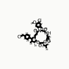 COc1ccc(C[C@H]2NC(=O)/C=C/C[C@@H]([C@H](C)C(C)C(C)c3ccc(CCl)cc3)OC(=O)[C@H](CC(C)C)OC(=O)C(C)(C)CNC2=O)cc1Cl